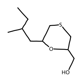 CCC(C)CC1CSCC(CO)O1